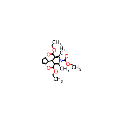 CCOC(=O)C1=C(C)N(C(=O)OCC)C(C)=C(C(=O)OCC)C1C1C=CCC1